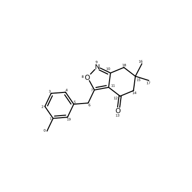 Cc1cccc(Cc2onc3c2C(=O)CC(C)(C)C3)c1